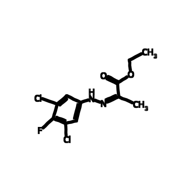 CCOC(=O)/C(C)=N\Nc1cc(Cl)c(F)c(Cl)c1